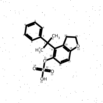 CC(C)(c1ccccc1)c1c(OS(=O)(=O)O)ccc2c1CCO2